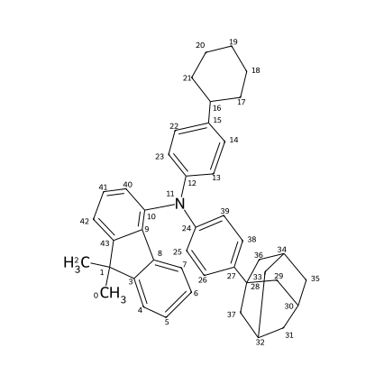 CC1(C)c2ccccc2-c2c(N(c3ccc(C4CCCCC4)cc3)c3ccc(C45CC6CC(CC(C6)C4)C5)cc3)cccc21